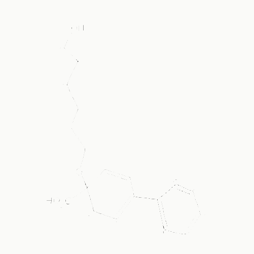 O=C(O)C1(OCCCCCCO)C=CC(c2ccccc2)=CC1